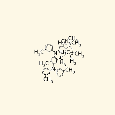 Cc1cccc(N(c2cccc(C)c2)c2cc(C)c(N(c3cccc(C)c3)c3ccc(C(CC(C)(C)C)C(C)(C)C)c(C)c3)cc2C)c1